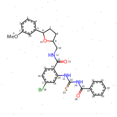 COc1cccc(C2CCC(CNC(=O)c3ccc(Br)cc3NC(=S)NC(=O)c3ccccc3)O2)c1